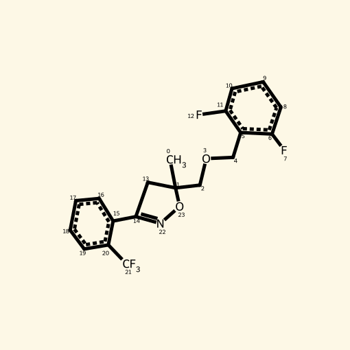 CC1(COCc2c(F)cccc2F)CC(c2ccccc2C(F)(F)F)=NO1